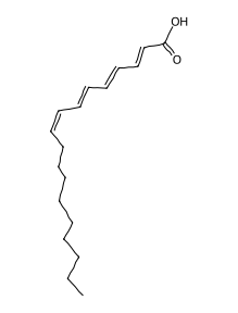 CCCCCCCCC\C=C/C=C/C=C/C=C/C(=O)O